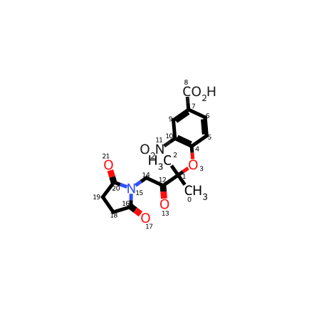 CC(C)(Oc1ccc(C(=O)O)cc1[N+](=O)[O-])C(=O)CN1C(=O)CCC1=O